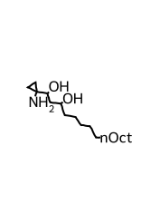 CCCCCCCCCCCCCC(O)CC(O)C1(N)CC1